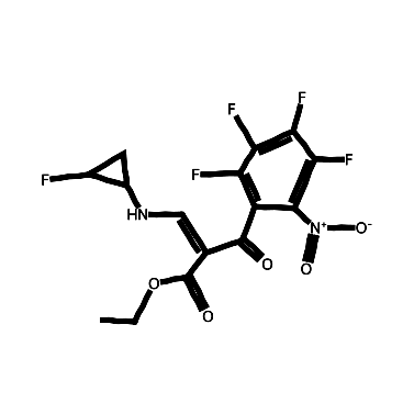 CCOC(=O)C(=CNC1CC1F)C(=O)c1c(F)c(F)c(F)c(F)c1[N+](=O)[O-]